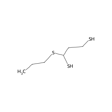 CCCSC(S)CCS